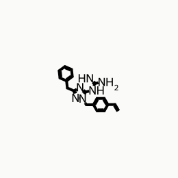 C=Cc1ccc(Cn2nc(Cc3ccccc3)nc2NC(=N)N)cc1